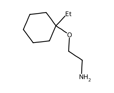 CCC1(OCCN)CCCCC1